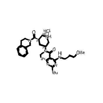 COCCCNc1nc(C(C)(C)C)ncc1C(=O)N(CC(C)C)[C@@H]1CNC[C@H](C(=O)N2CCc3ccccc3C2)C1.Cl.Cl